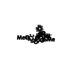 COc1ccc(C2OCC3O[C@@H](SC)[C@@H](N=[N+]=[N-])C(OC(=O)c4ccccc4)[C@@H]3O2)cc1